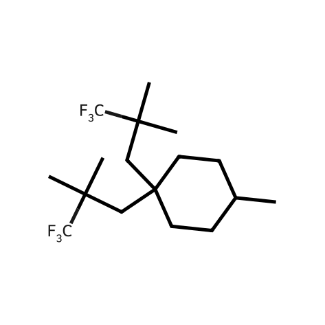 CC1CCC(CC(C)(C)C(F)(F)F)(CC(C)(C)C(F)(F)F)CC1